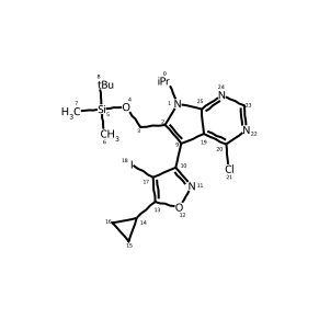 CC(C)n1c(CO[Si](C)(C)C(C)(C)C)c(-c2noc(C3CC3)c2I)c2c(Cl)ncnc21